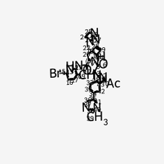 CC(=O)c1nn(CC(=O)N2[C@H](C(=O)Nc3nc(Br)ccc3C)C[C@@]3(Cn4ccnn4)C#C[C@@H]23)c2ccc(-c3cnc(C)nc3)cc12